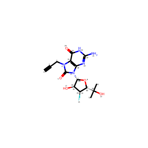 C#CCn1c(=O)n([C@@H]2O[C@H](C(C)(C)O)[C@@H](F)[C@H]2O)c2nc(N)[nH]c(=O)c21